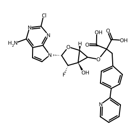 Nc1nc(Cl)nc2c1ccn2[C@@H]1O[C@@H]2C(OC(Cc3ccc(-c4ccccn4)cc3)(C(=O)O)C(=O)O)[C@]2(O)[C@@H]1F